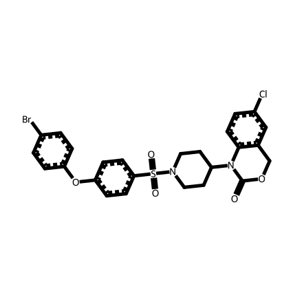 O=C1OCc2cc(Cl)ccc2N1C1CCN(S(=O)(=O)c2ccc(Oc3ccc(Br)cc3)cc2)CC1